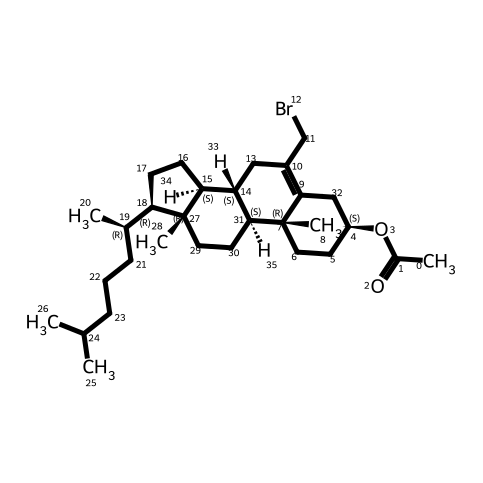 CC(=O)O[C@H]1CC[C@@]2(C)C(=C(CBr)C[C@H]3[C@@H]4CC[C@H]([C@H](C)CCCC(C)C)[C@@]4(C)CC[C@@H]32)C1